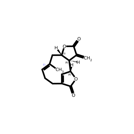 C=C1C(=O)O[C@H]2C/C(C)=C/CCC3=C[C@@H](OC3=O)[C@H]12